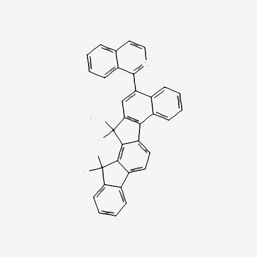 CC1(C)c2ccccc2-c2ccc3c(c21)C(C)(C)c1cc(-c2nccc4ccccc24)c2ccccc2c1-3